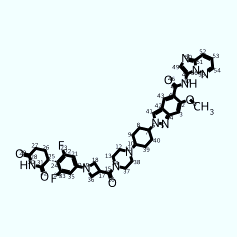 COc1cc2nn(C3CCC(N4CCN(C(=O)C5CN(c6cc(F)c([C@H]7CCC(=O)NC7=O)c(F)c6)C5)CC4)CC3)cc2cc1C(=O)Nc1cnc2cccnn12